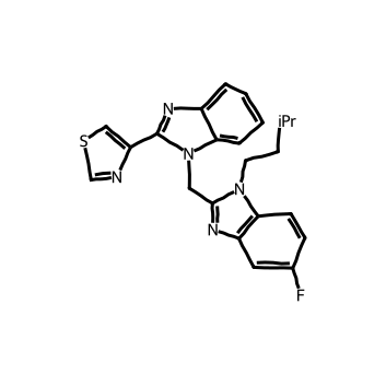 CC(C)CCn1c(Cn2c(-c3cscn3)nc3ccccc32)nc2cc(F)ccc21